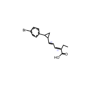 CC/C(=C\C=C\C1CC1c1ccc(Br)cc1)C(=O)O